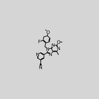 COc1nc(C)c2nc(-c3cncc(C#N)c3)n(CC3=C(F)CC(OC)C=C3)c2n1